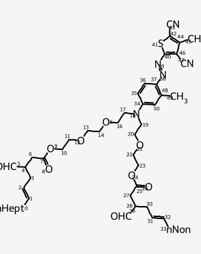 CCCCCCC/C=C/CC(C=O)CC(=O)OCCOCCOCCN(CCOCCOC(=O)CC(C=O)C/C=C/CCCCCCCCC)c1ccc(/N=N/c2sc(C#N)c(C)c2C#N)c(C)c1